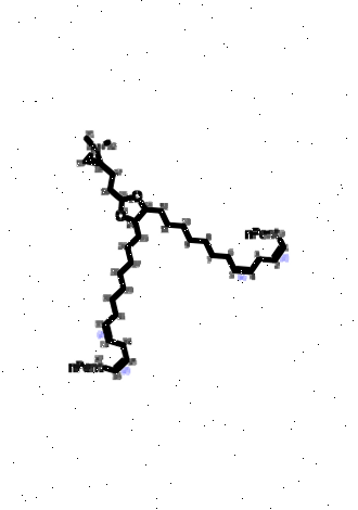 CCCCC/C=C\C/C=C\CCCCCCCC1OC(CCC2=C[N+]2(C)C)OC1CCCCCCC/C=C\C/C=C\CCCCC